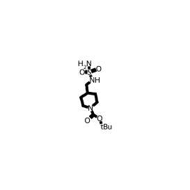 CC(C)(C)OC(=O)N1CCC(CNS(N)(=O)=O)CC1